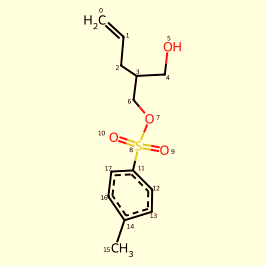 C=CCC(CO)COS(=O)(=O)c1ccc(C)cc1